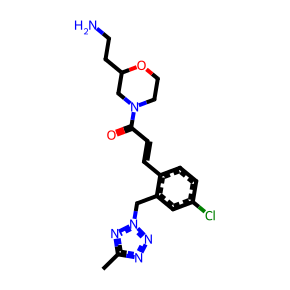 Cc1nnn(Cc2cc(Cl)ccc2C=CC(=O)N2CCOC(CCN)C2)n1